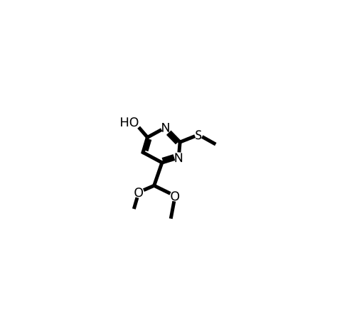 COC(OC)c1cc(O)nc(SC)n1